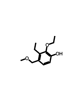 CCOc1c(O)ccc(COC)c1CC